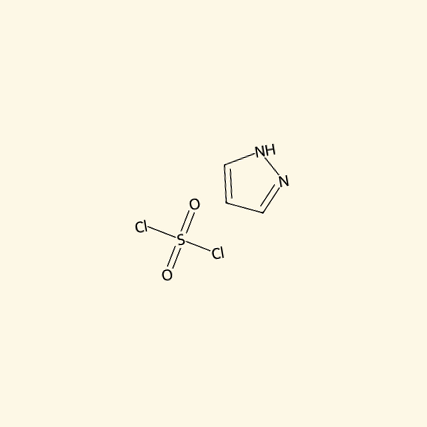 O=S(=O)(Cl)Cl.c1cn[nH]c1